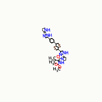 COC(=O)N[C@H](C(=O)N1CCC[C@H]1c1nc(-c2csc3c(-c4ccc(-c5cnc([C@@H]6CCCN6)[nH]5)cc4)csc23)c[nH]1)C(C)C